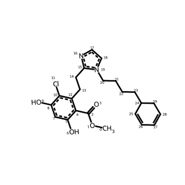 COC(=O)c1c(O)cc(O)c(Cl)c1CCc1nccn1CCCCC1C=CC=CC1